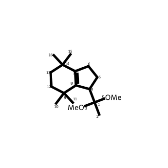 COC(C)(OC)C1CCC2=C1C(C)(C)CCC2(C)C